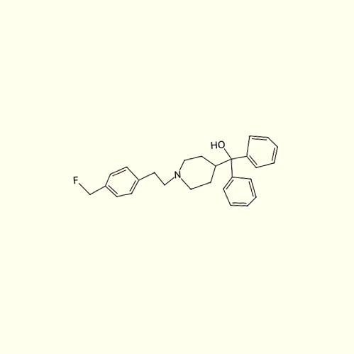 OC(c1ccccc1)(c1ccccc1)C1CCN(CCc2ccc(CF)cc2)CC1